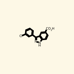 O=C(O)c1ccc2[nH]nc(-c3cccc(Cl)c3)c2c1